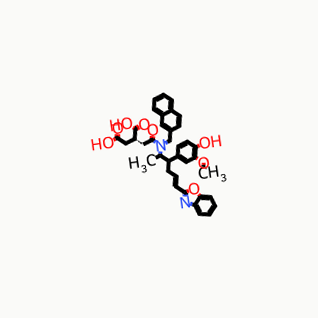 COc1cc(C(C/C=C/c2nc3ccccc3o2)C(C)N(Cc2ccc3ccccc3c2)C(=O)C[C@H](CC(=O)O)C(=O)O)ccc1O